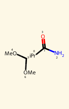 CC(C)C(N)=O.COCOC